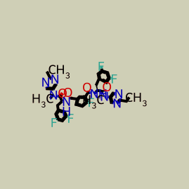 CCc1ncc(N(C)C(=O)C(Cc2cc(F)cc(F)c2)NC(=O)c2ccc(F)c(C(=O)N[C@@H](Cc3cc(F)cc(F)c3)C(=O)N(C)c3cnc(CC)nc3)c2)cn1